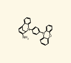 NC1=CC=C2CC1N(c1ccc(N3c4ccccc4Oc4ccccc43)cc1)c1ccccc12